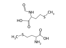 CSCCC(N)C(=O)O.CSCCC(NC=O)C(=O)O